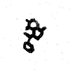 CC(N)=C(C)c1[nH]c(=O)ccc1C(=O)c1ccccc1